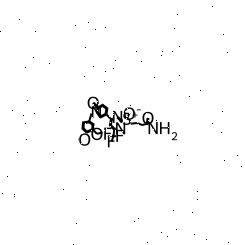 COc1ccc(Cn2cc(-c3cc(C(F)(F)F)nc([S+]([O-])CCCC(N)=O)n3)ccc2=O)cc1OC